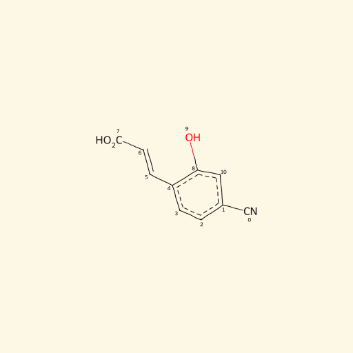 N#Cc1ccc(/C=C/C(=O)O)c(O)c1